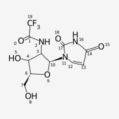 O=C(NC1C(O)[C@H](CO)O[C@@H]1n1ccc(=O)[nH]c1=O)C(F)(F)F